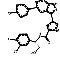 O=C(N[C@H](CO)c1ccc(F)c(Cl)c1)c1cc(-c2n[nH]c3ncc(-c4ccc(Cl)cc4)cc23)c[nH]1